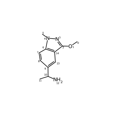 COc1nn(C)c2ccc(C(C)N)cc12